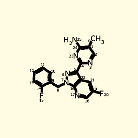 Cc1cnc(-c2nn(Cc3ccccc3F)c3ncc(F)cc23)nc1N